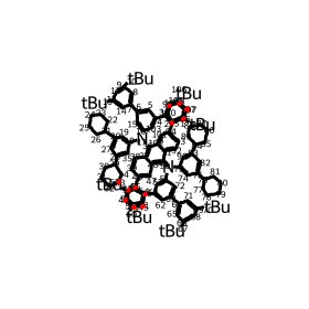 CC(C)(C)c1cc(-c2cc(-c3cc(C(C)(C)C)cc(C(C)(C)C)c3)cc(N(c3cc(C4CCCCC4)cc(C4CCCCC4)c3)c3c4ccc(-c5ccccc5)cc4c(N(c4cc(-c5cc(C(C)(C)C)cc(C(C)(C)C)c5)cc(-c5cc(C(C)(C)C)cc(C(C)(C)C)c5)c4)c4cc(C5CCCCC5)cc(C5CCCCC5)c4)c4ccc(-c5ccccc5)cc34)c2)cc(C(C)(C)C)c1